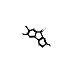 Cc1ccc2c(c1)C(=O)c1cc(C)c(C)cc1-2